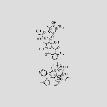 C=C[C@@]1(C)CC(=O)[C@]2(O)[C@@]3(C)[C@@H](O)CCC(C)(C)[C@@H]3[C@H](O)[C@H](OC(C)=O)[C@@]2(C)O1.CN1CCC[C@H]1c1cccnc1.COc1cccc2c1C(=O)c1c(O)c3c(c(O)c1C2=O)C[C@@](O)(C(=O)CO)C[C@@H]3O[C@H]1C[C@H](N)[C@@H](O)[C@H](C)O1